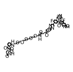 C[C@@H]1CN(c2cc(F)c(-c3cnc(N4CCN(C(=O)CCC(=O)NCCOCCOCCOCCOCCOCCNc5cccc6c5C(=O)N(C5CCC(=O)NC5=O)C6=O)CC4)nc3)cc2NC(=O)c2c[nH]c(=O)cc2C(F)(F)F)C[C@H](C)N1C